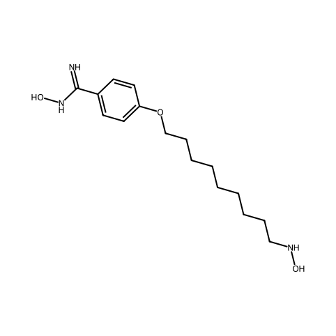 N=C(NO)c1ccc(OCCCCCCCCCNO)cc1